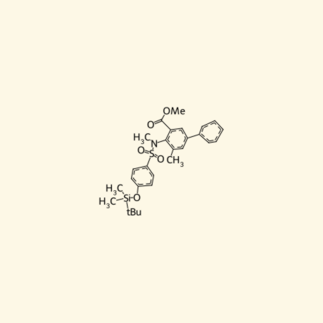 COC(=O)c1cc(-c2ccccc2)cc(C)c1N(C)S(=O)(=O)c1ccc(O[Si](C)(C)C(C)(C)C)cc1